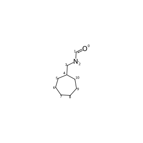 O=[C][N]CC1CCCCCC1